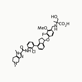 COc1c(CNC(C)(CO)C(=O)O)ccc(OC2CCc3c(-c4cccc(NC(=O)c5nc6c(n5C)CCN(C)C6)c4Cl)cccc32)c1F